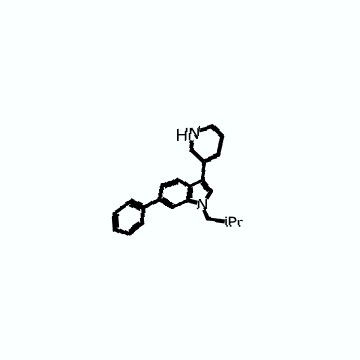 CC(C)Cn1cc(C2CCCNC2)c2ccc(-c3ccccc3)cc21